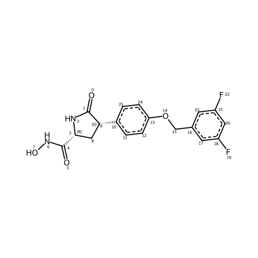 O=C1N[C@@H](C(=O)NO)C[C@H]1c1ccc(OCc2cc(F)cc(F)c2)cc1